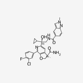 Cn1cc2cc(C(=O)NC[C@](O)(c3cc4c(c(-c5ccc(F)c(Cl)c5)n3)OC[C@]4(C)C(N)=O)C3CC3)ccc2n1